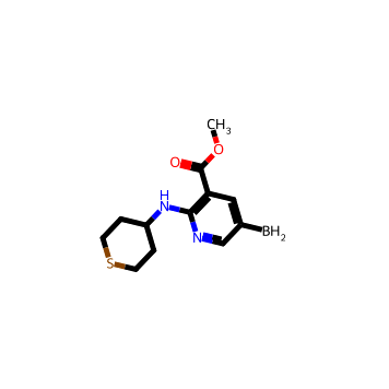 Bc1cnc(NC2CCSCC2)c(C(=O)OC)c1